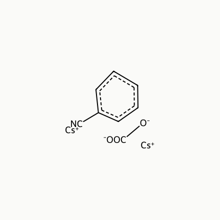 N#Cc1ccccc1.O=C([O-])[O-].[Cs+].[Cs+]